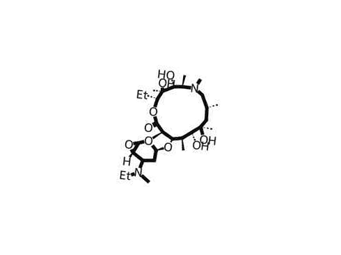 CC[C@H]1OC(=O)[C@H](C)[C@@H](O[C@H]2CC(N(C)CC)[C@@H]3OC3O2)[C@H](C)[C@@H](O)[C@](C)(O)C[C@@H](C)CN(C)[C@H](C)[C@@H](O)[C@]1(C)O